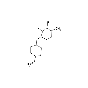 C=CC1CCC(CC2CCC(C)C(F)C2F)CC1